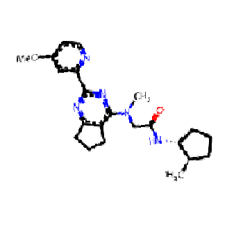 COc1ccnc(-c2nc3c(c(N(C)CC(=O)N[C@@H]4CCC[C@H]4C)n2)CCC3)c1